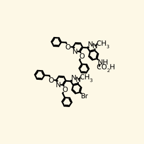 Cn1nc(-c2ccc(OCc3ccccc3)nc2OCc2ccccc2)c2ccc(Br)cc21.Cn1nc(-c2ccc(OCc3ccccc3)nc2OCc2ccccc2)c2ccc(NC(=O)O)cc21